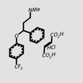 CNCCC(Oc1ccc(C(F)(F)F)cc1)c1ccccc1.Cl.O=C(O)/C=C/C(=O)O